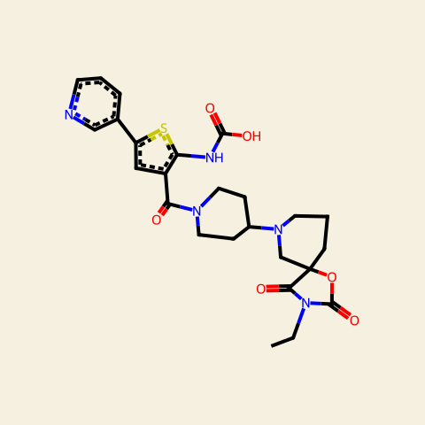 CCN1C(=O)OC2(CCCN(C3CCN(C(=O)c4cc(-c5cccnc5)sc4NC(=O)O)CC3)C2)C1=O